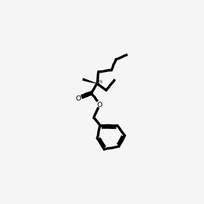 CCCC[C@](C)(CC)C(=O)OCc1ccccc1